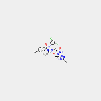 C[C@@]1(Cc2ccc(C#N)cc2)C(=O)N(c2cc(Cl)cc(Cl)c2)C2N(C3CC3(C(N)=O)C(=O)NC3(c4nnc(C5CC5)[nH]4)CC3)C=C(C(=O)O)N21